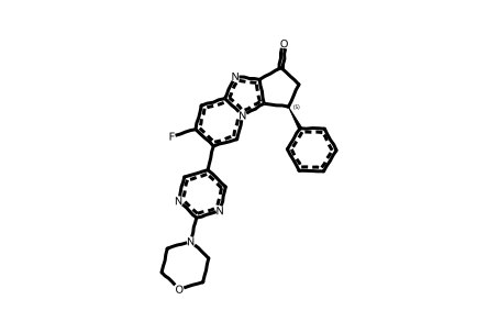 O=C1C[C@@H](c2ccccc2)c2c1nc1cc(F)c(-c3cnc(N4CCOCC4)nc3)cn21